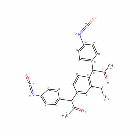 CCc1cc(C(C(C)=O)c2ccc(N=C=O)cc2)ccc1C(C(C)=O)c1ccc(N=C=O)cc1